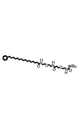 CC(C)(C)OC(=O)NCCOCCC(=O)NCCOCCNC(=O)CCCCCCCCCCCCCCCc1ccccc1